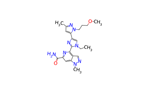 CCn1cc(-c2cc(C)nn2CCCOC)nc1-c1nc(C(N)=O)cc2c1cnn2C